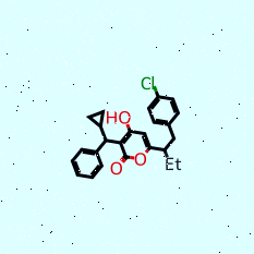 CCC(Cc1ccc(Cl)cc1)c1cc(O)c(C(c2ccccc2)C2CC2)c(=O)o1